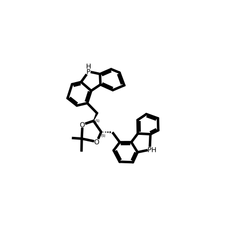 CC1(C)O[C@@H](Cc2cccc3[pH]c4ccccc4c23)[C@H](Cc2cccc3[pH]c4ccccc4c23)O1